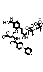 N=C(N)c1ccc(CCC(=O)O)c(OC[C@@H](CC(=O)O)NC(=O)C2CCN(c3ccncc3)CC2)c1.O=C(O)C(F)(F)F.O=C(O)C(F)(F)F